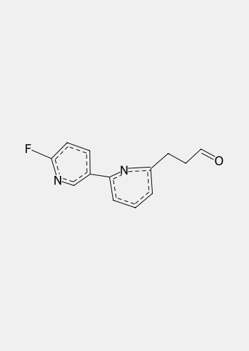 O=CCCc1cccc(-c2ccc(F)nc2)n1